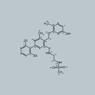 CCc1cccc(CC)c1-c1cc(CNCCNS(C)(=O)=O)c(COc2cc(C(C)C)ccc2C)c(C)n1